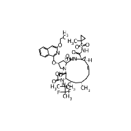 CCOc1cc2ccccc2c(O[C@@H]2C[C@H]3C(=O)N[C@]4(C(=O)NS(=O)(=O)C5(C)CC5)C[C@H]4C=CCC[C@H](C)C[C@@H](C)[C@H](N(C(=O)O)C(C)(C)C(C)(F)F)C(=O)N3C2)n1